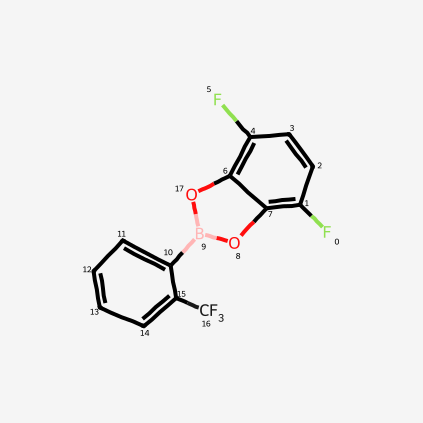 Fc1ccc(F)c2c1OB(c1ccccc1C(F)(F)F)O2